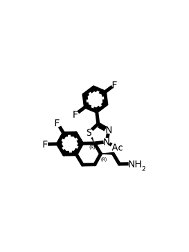 CC(=O)N1N=C(c2cc(F)ccc2F)S[C@]12c1cc(F)c(F)cc1CC[C@@H]2CCN